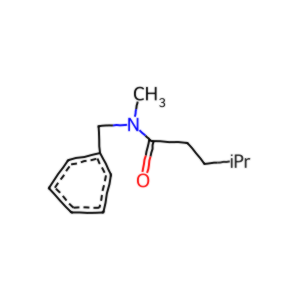 CC(C)CCC(=O)N(C)Cc1ccccc1